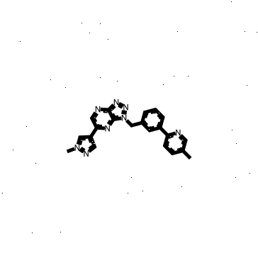 Cc1ccc(-c2cccc(Cn3nnc4ncc(-c5cnn(C)c5)nc43)c2)nc1